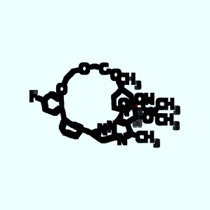 Cc1nc2cc3nn2c(c1[C@H](OC(C)(C)C)C(=O)O)N1CCC(C)(CC1)OCCOCCOc1cc(F)ccc1-c1cccc-3c1